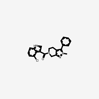 Cn1nc2c(c1-c1ccccc1)CCN(C(=O)c1c[nH]c3cccc(Cl)c13)C2